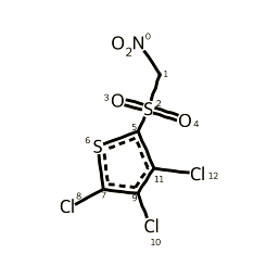 O=[N+]([O-])CS(=O)(=O)c1sc(Cl)c(Cl)c1Cl